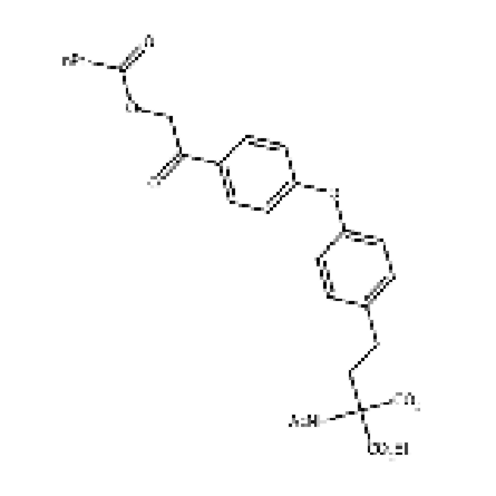 CCCC(=O)OCC(=O)c1ccc(Oc2ccc(CCC(NC(C)=O)(C(=O)O)C(=O)OCC)cc2)cc1